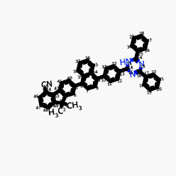 CC1(C)c2cc(-c3ccc(-c4ccc(C5N=C(c6ccccc6)N=C(c6ccccc6)N5)cc4)c4ccccc34)ccc2-c2c(C#N)cccc21